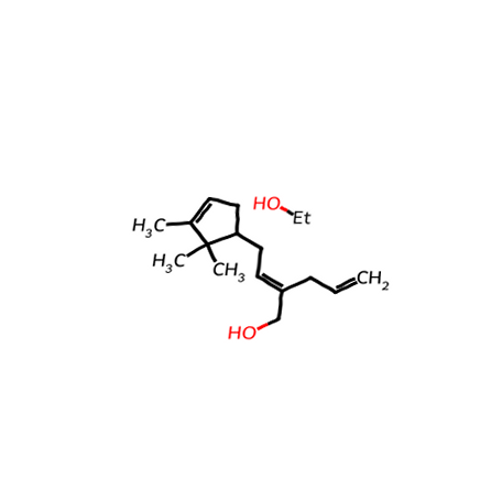 C=CC/C(=C\CC1CC=C(C)C1(C)C)CO.CCO